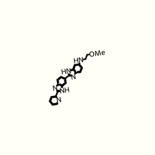 COCCNc1ccc2nc(-c3ccc4nc(-c5ccccn5)[nH]c4c3)[nH]c2c1